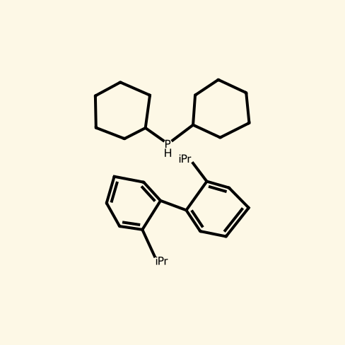 C1CCC(PC2CCCCC2)CC1.CC(C)c1ccccc1-c1ccccc1C(C)C